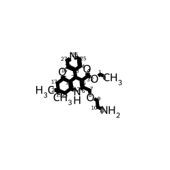 CCOC(=O)C1=C(COCCN)NC2=C(C(=O)CC(C)(C)C2)C1c1ccncc1